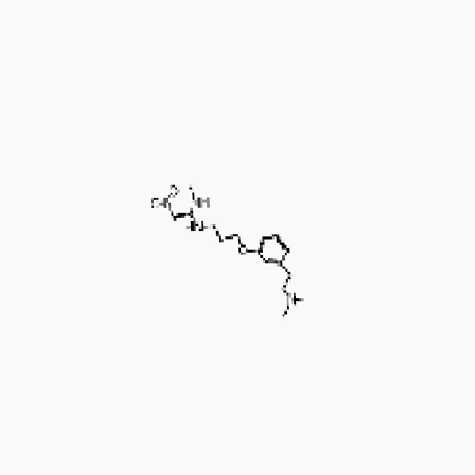 CNC(=C[N+](=O)[O-])NCCCOc1cccc(CCN(C)C)c1